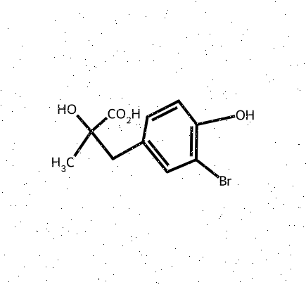 CC(O)(Cc1ccc(O)c(Br)c1)C(=O)O